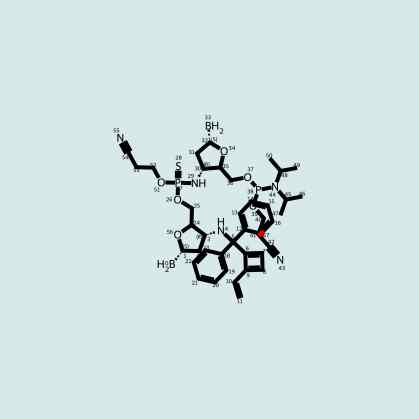 B[C@H]1C[C@@H](NC(C2=CC=C2C=C)(c2ccccc2)c2ccccc2)C(COP(=S)(N[C@@H]2C[C@H](B)OC2COP(OCCC#N)N(C(C)C)C(C)C)OCCC#N)O1